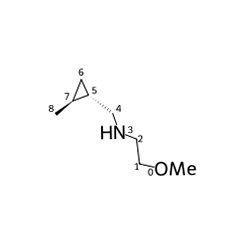 COCCNC[C@H]1C[C@@H]1C